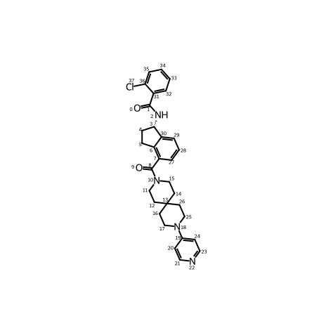 O=C(N[C@H]1CCc2c(C(=O)N3CCC4(CC3)CCN(c3ccncc3)CC4)cccc21)c1ccccc1Cl